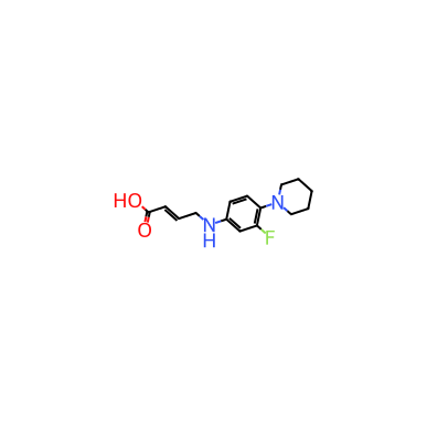 O=C(O)C=CCNc1ccc(N2CCCCC2)c(F)c1